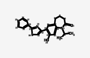 CC(C)N1C(=O)CCCc2cc(-c3csc(-c4ccncc4)n3)c(O)cc21